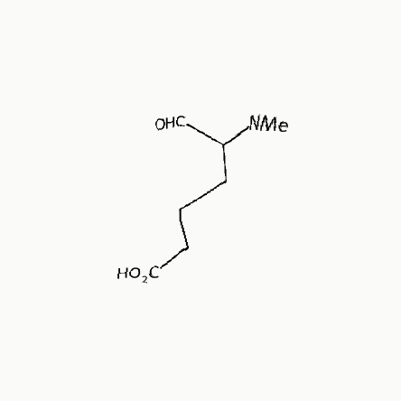 CNC(C=O)CCCC(=O)O